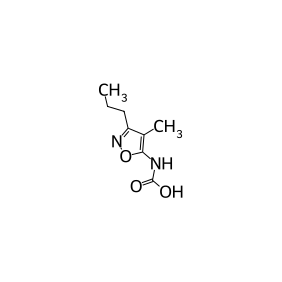 CCCc1noc(NC(=O)O)c1C